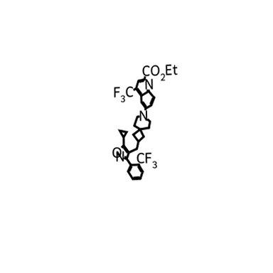 CCOC(=O)c1cc(C(F)(F)F)c2cc(N3CCC4(CC3)CC(Cc3c(-c5ccccc5C(F)(F)F)noc3C3CC3)C4)ccc2n1